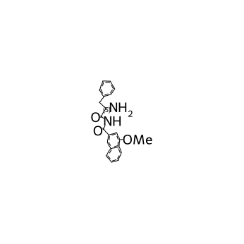 COc1cc(C(=O)NC(=O)[C@@H](N)Cc2ccccc2)cc2ccccc12